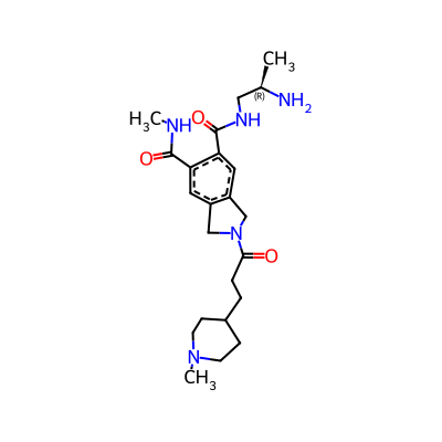 CNC(=O)c1cc2c(cc1C(=O)NC[C@@H](C)N)CN(C(=O)CCC1CCN(C)CC1)C2